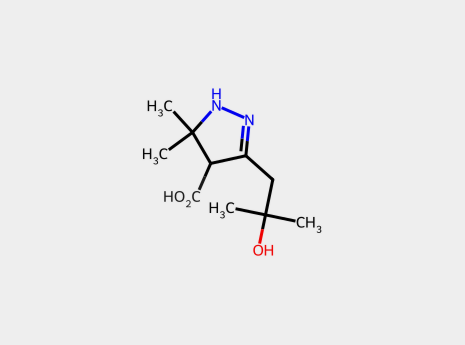 CC(C)(O)CC1=NNC(C)(C)C1C(=O)O